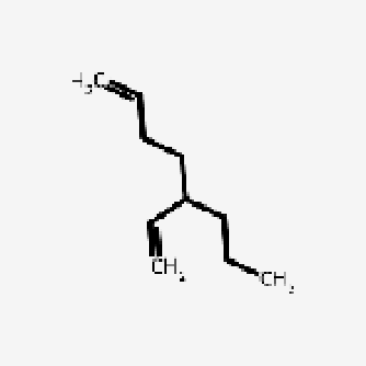 C=CCCC(C=C)CCC